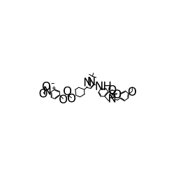 COc1ccc(CN2Cc3ccc(Nc4cc(C5CCC(OC(=O)Oc6ccc([N+](=O)[O-])cc6)CC5)nn4C(C)(C)C)cc3S2(=O)=O)cc1